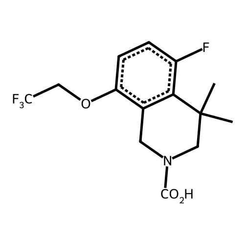 CC1(C)CN(C(=O)O)Cc2c(OCC(F)(F)F)ccc(F)c21